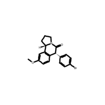 COc1ccc2c(c1)[C@@H]1CCCN1C(=O)[C@@H]2c1ccc(Br)cc1